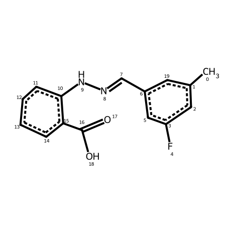 Cc1cc(F)cc(/C=N/Nc2ccccc2C(=O)O)c1